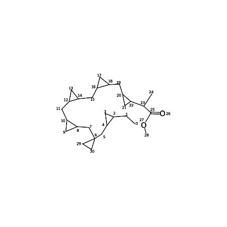 CCC1CC1CC1(CC2CC2CC2CC2CC2CC2CC2CC2C(C)C(=O)OC)CC1